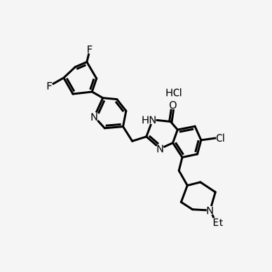 CCN1CCC(Cc2cc(Cl)cc3c(=O)[nH]c(Cc4ccc(-c5cc(F)cc(F)c5)nc4)nc23)CC1.Cl